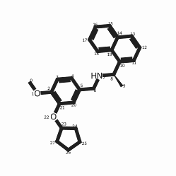 COc1ccc(CN[C@H](C)c2cccc3ccccc23)cc1OC1CCCC1